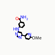 COc1ccc(-c2cc(Nc3cccc(C(N)=O)c3)ncn2)cn1